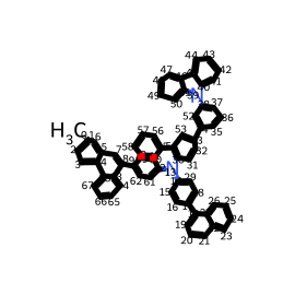 Cc1ccc2c(c1)cc(-c1ccc(N(c3ccc(-c4cccc5ccccc45)cc3)c3ccc(-c4cccc(-n5c6ccccc6c6ccccc65)c4)cc3-c3ccccc3)cc1)c1ccccc12